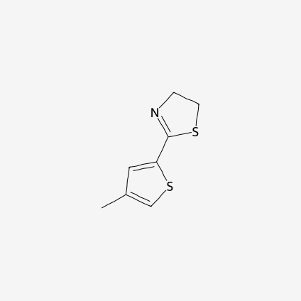 Cc1csc(C2=NCCS2)c1